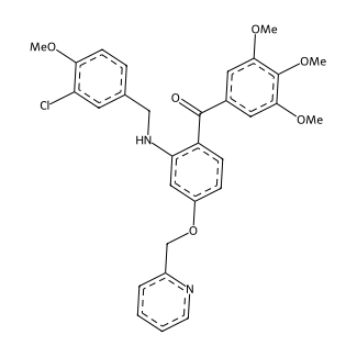 COc1ccc(CNc2cc(OCc3ccccn3)ccc2C(=O)c2cc(OC)c(OC)c(OC)c2)cc1Cl